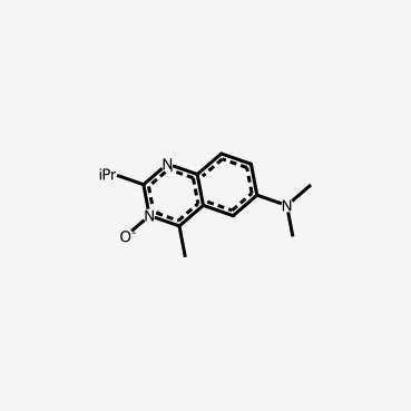 Cc1c2cc(N(C)C)ccc2nc(C(C)C)[n+]1[O-]